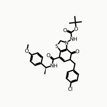 COc1ccc([C@H](C)NC(=O)C2=CC(Cc3ccc(Cl)cc3)C(=O)C3=C2SCN3NC(=O)OC(C)(C)C)cc1